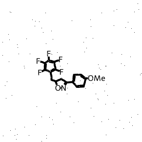 COc1ccc(C2=NOC(Cc3c(F)c(F)c(F)c(F)c3F)C2)cc1